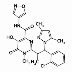 Cc1cc(C)n(C(c2ccccc2Cl)C(C)c2nc(C(=O)Nc3cnoc3)c(O)c(=O)n2C)n1